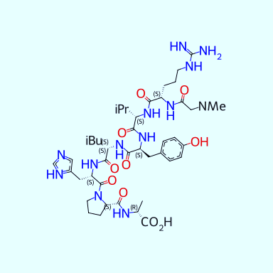 CC[C@H](C)[C@H](NC(=O)[C@H](Cc1ccc(O)cc1)NC(=O)[C@@H](NC(=O)[C@H](CCCNC(=N)N)NC(=O)CNC)C(C)C)C(=O)N[C@@H](Cc1cnc[nH]1)C(=O)N1CCC[C@H]1C(=O)N[C@H](C)C(=O)O